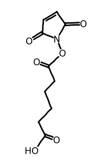 O=C(O)CCCCC(=O)ON1C(=O)C=CC1=O